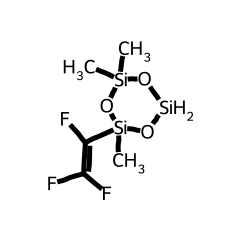 C[Si]1(C)O[SiH2]O[Si](C)(C(F)=C(F)F)O1